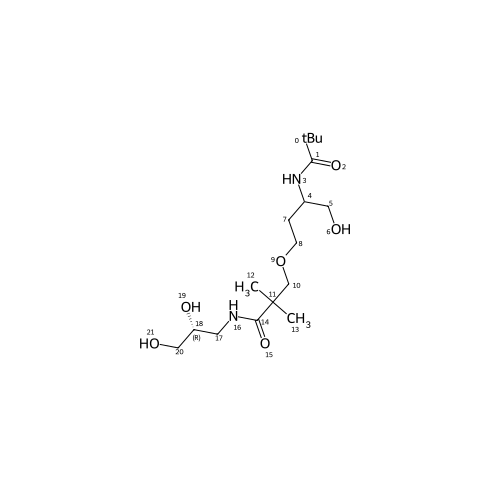 CC(C)(C)C(=O)NC(CO)CCOCC(C)(C)C(=O)NC[C@@H](O)CO